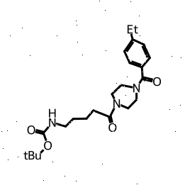 CCc1ccc(C(=O)N2CCN(C(=O)CCCCNC(=O)OC(C)(C)C)CC2)cc1